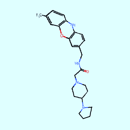 O=C(CN1CCC(N2CCCC2)CC1)NCc1ccc2c(c1)Oc1cc(C(F)(F)F)ccc1N2